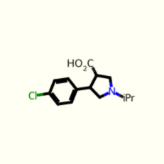 CC(C)N1CC(C(=O)O)C(c2ccc(Cl)cc2)C1